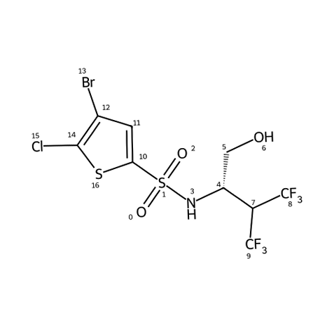 O=S(=O)(N[C@H](CO)C(C(F)(F)F)C(F)(F)F)c1cc(Br)c(Cl)s1